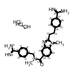 CN(Cc1ccc(C(=N)N)cc1)C(=O)c1ccc2c(c1)nc(CCc1ccc(C(=N)N)cc1)n2C.Cl.Cl.Cl